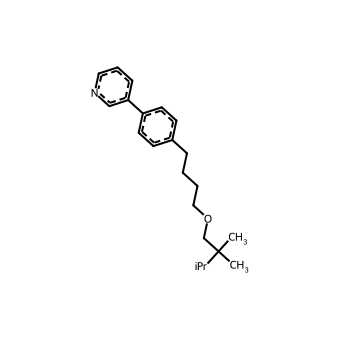 CC(C)C(C)(C)COCCCCc1ccc(-c2cccnc2)cc1